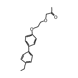 CCc1ccc(-c2ccc(OCCOCC(C)=O)cc2)cc1